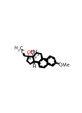 C=C=C[C@]1(O)CC[C@H]2c3ccc4cc(OC)ccc4c3CC[C@@]21C